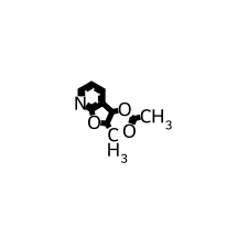 CC(=O)OC1c2cccnc2OC1C